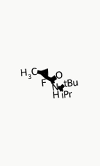 CC(C)C(NC(=O)C1(F)CC1C)C(C)(C)C